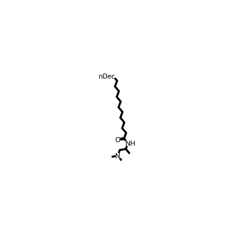 CCCCCCCCCCCCCCCCCCCCCC(=O)NC(C)CN(C)C